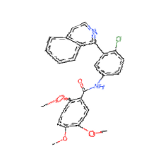 COc1cc(OC)c(C(=O)Nc2ccc(Cl)c(-c3nccc4ccccc34)c2)cc1OC